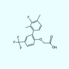 Cc1ccc(-c2cc(C(F)(F)F)ccc2OCC(=O)O)c(C)c1F